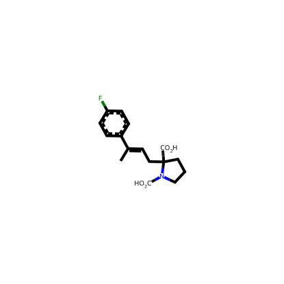 CC(=CCC1(C(=O)O)CCCN1C(=O)O)c1ccc(F)cc1